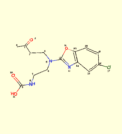 CC(=O)CCN(CCNC(=O)O)c1nc2cc(Cl)ccc2o1